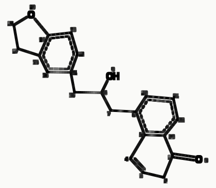 O=C1CC=Cc2c(CC(O)Cc3ccc4c(c3)CCO4)cccc21